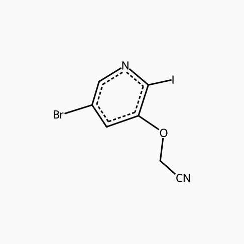 N#CCOc1cc(Br)cnc1I